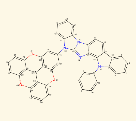 c1ccc(-n2c3ccccc3c3ccc4c(nc5n(-c6cc7c8c(c6)Oc6cccc9c6B8c6c(cccc6O7)O9)c6ccccc6n45)c32)cc1